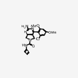 COc1cc(Cl)c(-c2nc(N)nc3c2CN(C(=O)NC2=CC=C2)C3)c(OC)c1